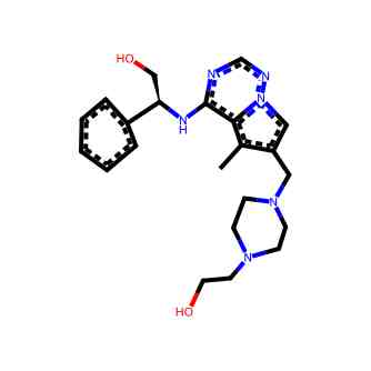 Cc1c(CN2CCN(CCO)CC2)cn2ncnc(N[C@H](CO)c3ccccc3)c12